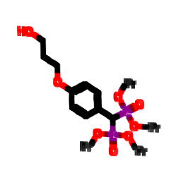 CC(C)OP(=O)(OC(C)C)C(c1ccc(OCCCO)cc1)P(=O)(OC(C)C)OC(C)C